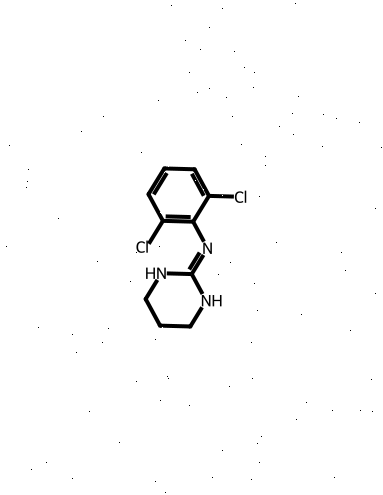 Clc1cccc(Cl)c1N=C1NCCCN1